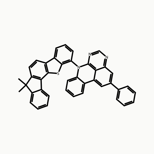 CC1(C)c2ccccc2-c2c1ccc1c2sc2c(N3c4ccccc4-c4cc(-c5ccccc5)cc5ncnc3c45)cccc21